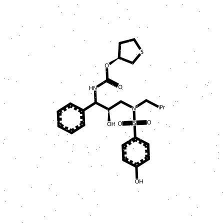 CC(C)CN(C[C@@H](O)C(NC(=O)O[C@H]1CCSC1)c1ccccc1)S(=O)(=O)c1ccc(O)cc1